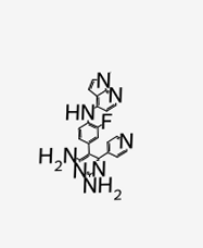 Cn1ccc2c(Nc3ccc(-c4c(N)nc(N)nc4-c4ccncc4)cc3F)ccnc21